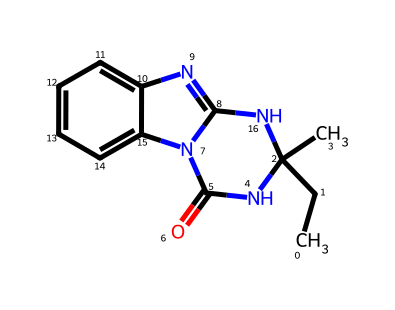 CCC1(C)NC(=O)n2c(nc3ccccc32)N1